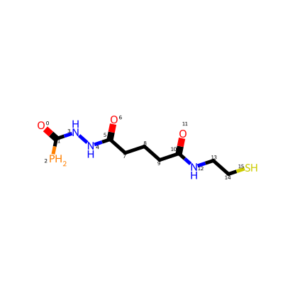 O=C(P)NNC(=O)CCCC(=O)NCCS